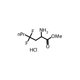 CCCC(F)(F)CC(N)C(=O)OC.Cl